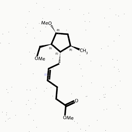 COC[C@@H]1[C@@H](C/C=C\CCC(=O)OC)[C@H](C)C[C@H]1OC